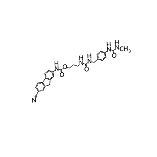 CNC(=O)Nc1ccc(CNC(=O)NCCCOC(=O)Nc2ccc3c(c2)Cc2cc(C#N)ccc2-3)cc1